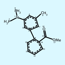 BN(P)c1cc(C)cc(-c2ccccc2C(=O)OC)c1